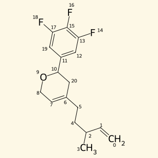 C=CC(C)CCC1=CCOC(c2cc(F)c(F)c(F)c2)C1